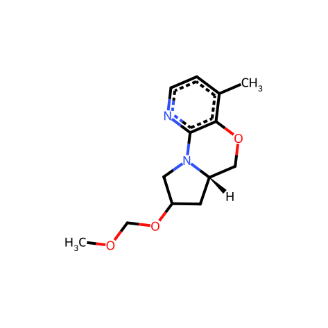 COCOC1C[C@H]2COc3c(C)ccnc3N2C1